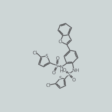 O=S(=O)(Nc1ccc(-c2cc3ccccc3o2)cc1NS(=O)(=O)c1ccc(Cl)s1)c1ccc(Cl)s1